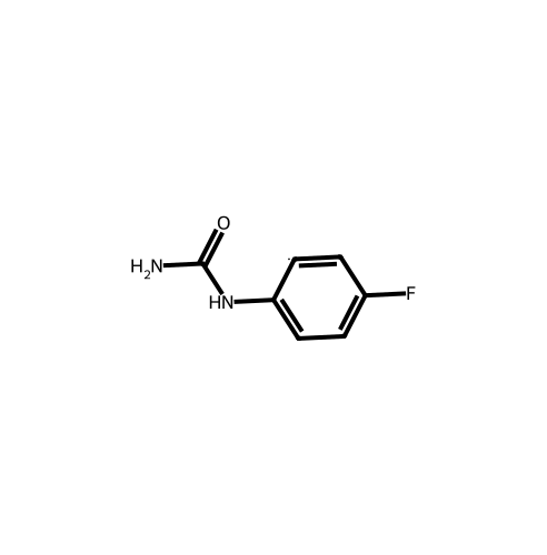 NC(=O)Nc1[c]cc(F)cc1